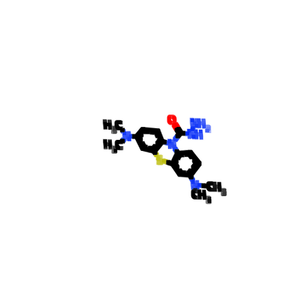 CN(C)c1ccc2c(c1)Sc1cc(N(C)C)ccc1N2C(=O)NN